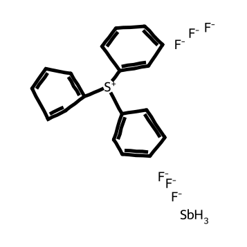 [F-].[F-].[F-].[F-].[F-].[F-].[SbH3].c1ccc([S+](c2ccccc2)c2ccccc2)cc1